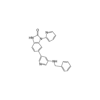 O=c1[nH]c2ccc(-c3cncc(NCc4ccccc4)c3)cc2n1-c1ccccn1